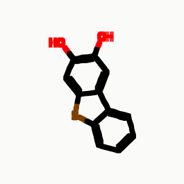 Oc1cc2sc3ccccc3c2cc1O